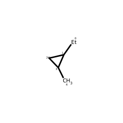 CCC1[C]C1C